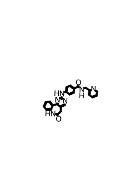 O=C1Cc2cnc(Nc3ccc(C(=O)NCc4ccccn4)cc3)nc2-c2ccccc2N1